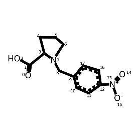 O=C(O)C1CCCN1Cc1ccc([N+](=O)[O-])cc1